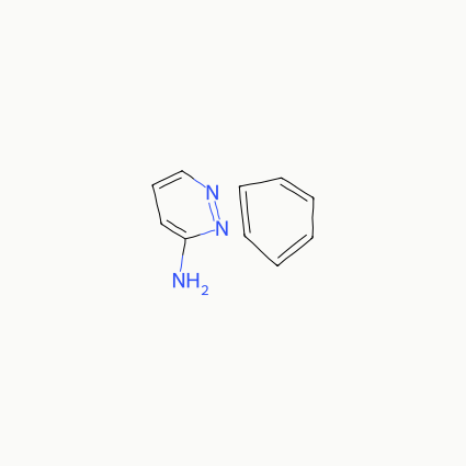 Nc1cccnn1.c1ccccc1